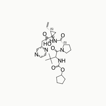 C=C[C@@H]1C[C@]1(NC(=O)[C@@H]1CCCN1C(=O)C(NC(=O)OC1CCCC1)C(C)(C)C)P(=O)(O)Cc1cnccn1